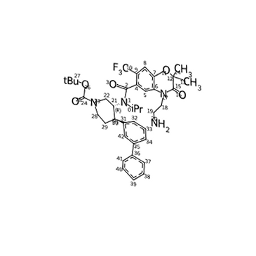 CC(C)N(C(=O)c1cc2c(cc1C(F)(F)F)OC(C)(C)C(=O)N2CCN)[C@H]1CN(C(=O)OC(C)(C)C)CC[C@@H]1c1cccc(-c2ccccc2)c1